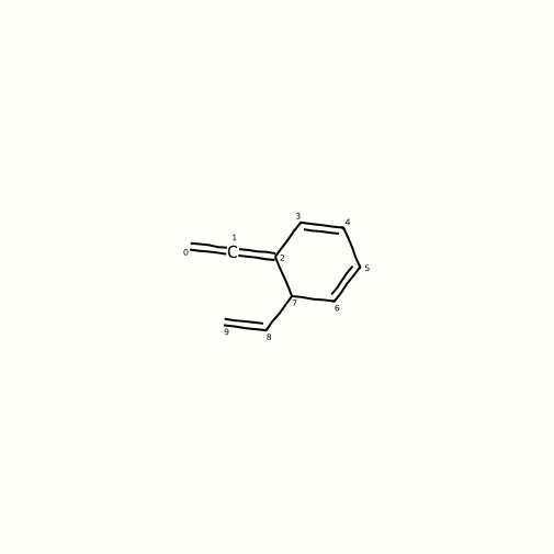 C=C=C1C=CC=CC1C=C